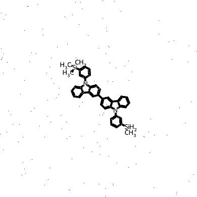 C[SiH2]c1cccc(-n2c3ccccc3c3cc(-c4ccc5c(c4)c4ccccc4n5-c4cccc([Si](C)(C)C)c4)ccc32)c1